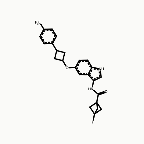 O=C(Nc1c[nH]c2ccc(OC3CC(c4ccc(C(F)(F)F)cc4)C3)cc12)C12CC(F)(C1)C2